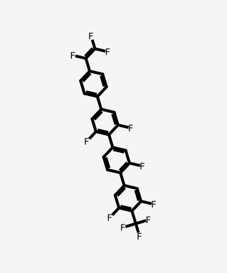 FC(F)=C(F)c1ccc(-c2cc(F)c(-c3ccc(-c4cc(F)c(C(F)(F)F)c(F)c4)c(F)c3)c(F)c2)cc1